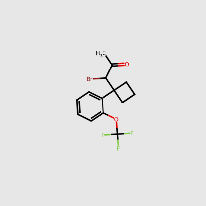 CC(=O)C(Br)C1(c2ccccc2OC(F)(F)F)CCC1